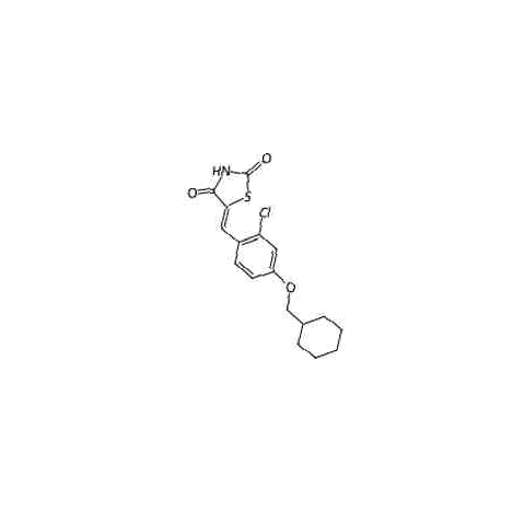 O=C1NC(=O)C(=Cc2ccc(OCC3CCCCC3)cc2Cl)S1